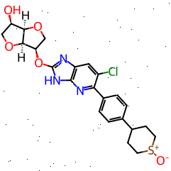 [O-][S+]1CCC(c2ccc(-c3nc4[nH]c(O[C@@H]5CO[C@H]6[C@@H]5OC[C@H]6O)nc4cc3Cl)cc2)CC1